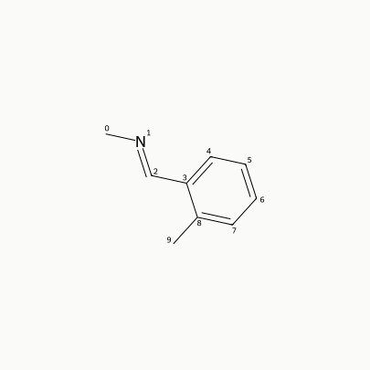 CN=Cc1ccccc1C